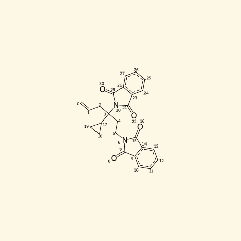 C=CCC(CCN1C(=O)c2ccccc2C1=O)(C1CC1)N1C(=O)c2ccccc2C1=O